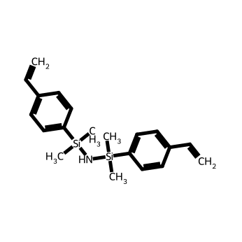 C=Cc1ccc([Si](C)(C)N[Si](C)(C)c2ccc(C=C)cc2)cc1